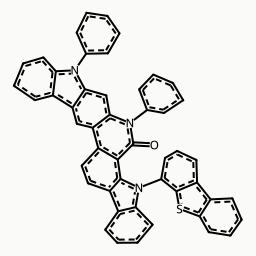 O=c1c2c(ccc3c4ccccc4n(-c4cccc5c4sc4ccccc45)c32)c2cc3c4ccccc4n(-c4ccccc4)c3cc2n1-c1ccccc1